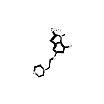 CC(C)c1cc(OCCN2CCOCC2)cc2cc(C(=O)O)n(C)c12